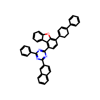 C1=C(c2ccccc2)CCC(c2ccc(-c3nc(-c4ccccc4)nc(-c4ccc5ccccc5c4)n3)c3c2oc2ccccc23)=C1